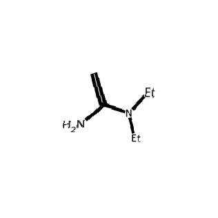 C=C(N)N(CC)CC